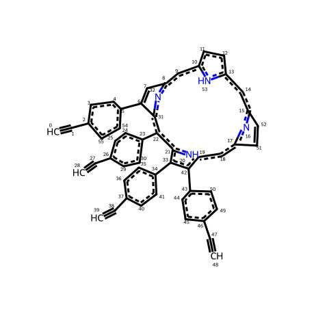 C#Cc1ccc(C2=Cc3cc4ccc(cc5nc(cc6[nH]c(c(-c7ccc(C#C)cc7)c2n3)c(-c2ccc(C#C)cc2)c6-c2ccc(C#C)cc2)C=C5)[nH]4)cc1